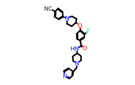 N#Cc1ccc(N2CCC(Oc3ccc(C(=O)NC4CCN(Cc5ccncc5)CC4)cc3F)CC2)cc1